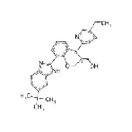 C=Cc1ccc(N2c3cccc(-c4nc5ccc(C(C)(C)C)cc5[nH]4)c3OC[C@@H]2CO)nc1